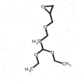 CCOC(OCC)[SiH2]COCC1CO1